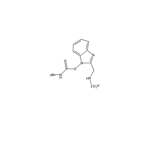 CCCCNC(=O)On1c(CNC(=O)O)nc2ccccc21